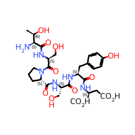 C[C@@H](O)[C@H](N)C(=O)N[C@@H](CO)C(=O)N1CCC[C@H]1C(=O)N[C@@H](CO)C(=O)N[C@@H](Cc1ccc(O)cc1)C(=O)N[C@@H](CC(=O)O)C(=O)O